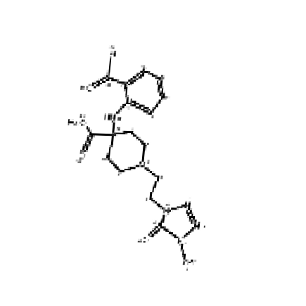 CCCn1nnn(CCN2CCC(Nc3ccccc3C(=O)CC)(C(=O)OC)CC2)c1=O